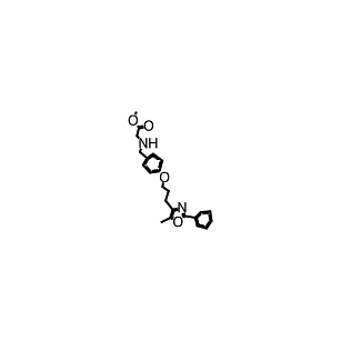 COC(=O)CNCc1ccc(OCCCc2nc(-c3ccccc3)oc2C)cc1